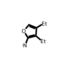 CCc1coc([N])c1CC